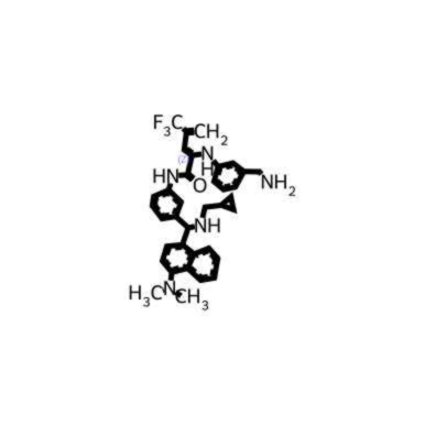 C=C(/C=C(\Nc1cccc(CN)c1)C(=O)Nc1cccc(C(NCC2CC2)c2ccc(N(C)C)c3ccccc23)c1)C(F)(F)F